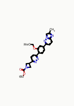 COCOc1cc(-c2ccc3nc(C)cn3n2)ccc1-c1ccc(C2CN(C(=O)OC(C)(C)C)C2)nn1